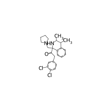 CC1NC(CN2CCCC2)(C(=O)Cc2ccc(Cl)c(Cl)c2)c2ccccc2C1C